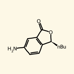 CCCC[C@@H]1OC(=O)c2cc(N)ccc21